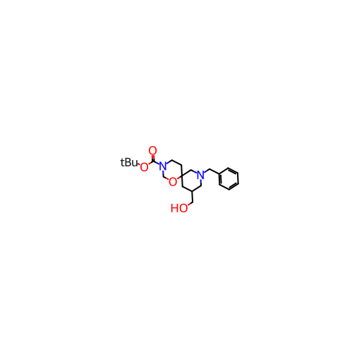 CC(C)(C)OC(=O)N1CCC2(CC(CO)CN(Cc3ccccc3)C2)OC1